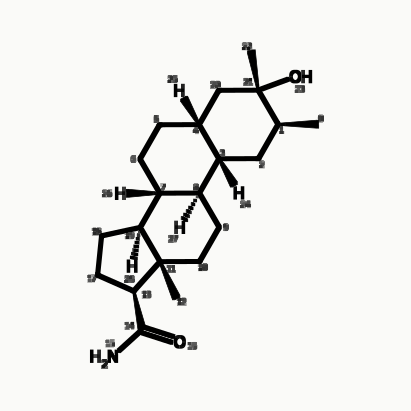 C[C@H]1C[C@H]2[C@H](CC[C@@H]3[C@@H]2CC[C@]2(C)[C@@H](C(N)=O)CC[C@@H]32)C[C@]1(C)O